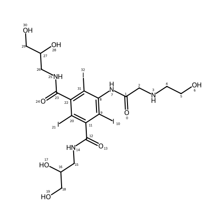 O=C(CNCCO)Nc1c(I)c(C(=O)NCC(O)CO)c(I)c(C(=O)NCC(O)CO)c1I